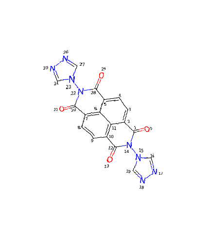 O=C1c2ccc3c4c(ccc(c24)C(=O)N1n1cnnc1)C(=O)N(n1cnnc1)C3=O